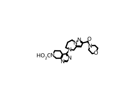 O=C(O)N1CCc2c(ncnc2N2CCCn3nc(C(=O)N4CCOCC4)cc3C2)C1